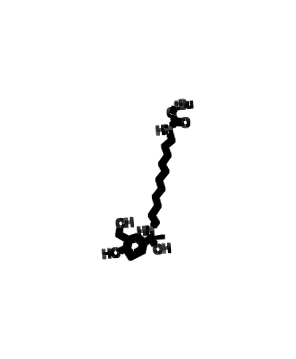 CC(C)(C)OC(=O)NCCCCCCCCCCCN[C@](C)(O)c1ccc(O)c(CO)c1